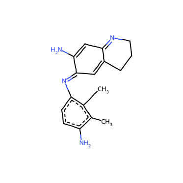 Cc1c(N)ccc(N=C2C=C3CCCN=C3C=C2N)c1C